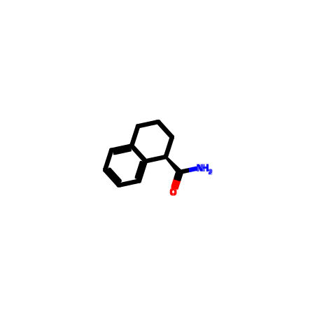 NC(=O)[C@@H]1CCCc2ccccc21